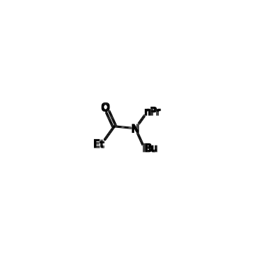 [CH2]CC(=O)N(CCC)C(C)CC